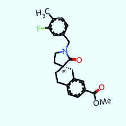 COC(=O)c1ccc2c(c1)C[C@]1(CC2)CCN(Cc2ccc(C)c(F)c2)C1=O